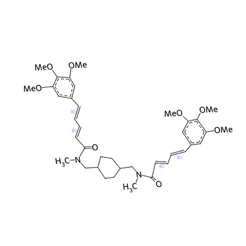 COc1cc(/C=C/C=C/C(=O)N(C)CC2CCC(CN(C)C(=O)/C=C/C=C/c3cc(OC)c(OC)c(OC)c3)CC2)cc(OC)c1OC